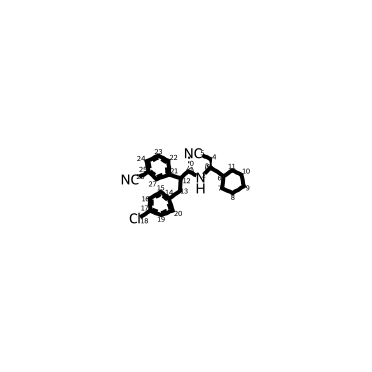 C[C@H](N[C@@H](CC#N)C1CCCCC1)C(Cc1ccc(Cl)cc1)c1cccc(C#N)c1